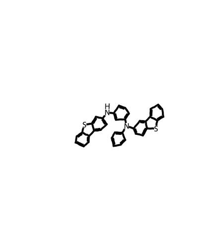 c1ccc(N(c2cccc(Nc3ccc4c(c3)sc3ccccc34)c2)c2ccc3sc4ccccc4c3c2)cc1